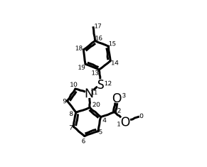 COC(=O)c1cccc2ccn(Sc3ccc(C)cc3)c12